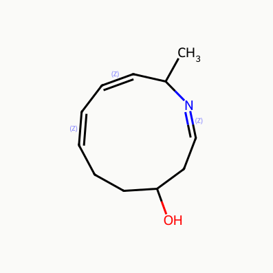 CC1/C=C\C=C/CCC(O)C/C=N\1